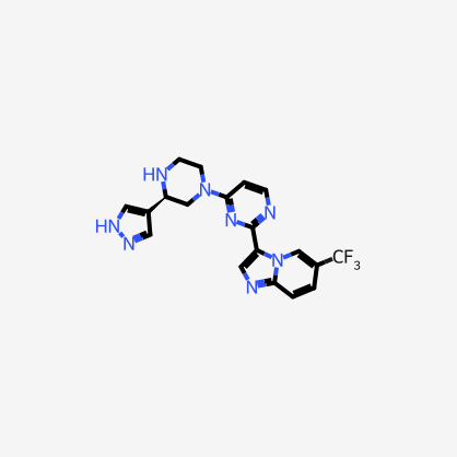 FC(F)(F)c1ccc2ncc(-c3nccc(N4CCN[C@H](c5cn[nH]c5)C4)n3)n2c1